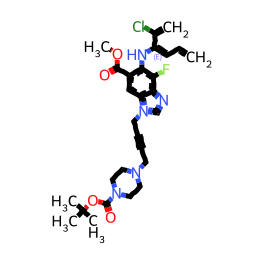 C=C/C=C(/Nc1c(C(=O)OC)cc2c(ncn2CC#CCN2CCN(C(=O)OC(C)(C)C)CC2)c1F)C(=C)Cl